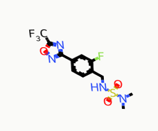 CN(C)S(=O)(=O)NCc1ccc(-c2noc(C(F)(F)F)n2)cc1F